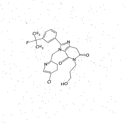 CC(C)(F)c1cccc(-c2nc3c(n2CC2=NC=C(Cl)CC2)C(=O)N(CCCO)C(=O)C3)c1